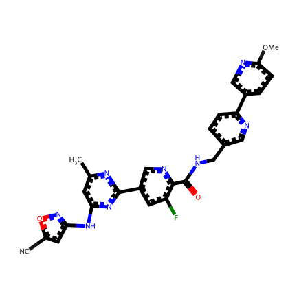 COc1ccc(-c2ccc(CNC(=O)c3ncc(-c4nc(C)cc(Nc5cc(C#N)on5)n4)cc3F)cn2)cn1